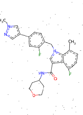 Cc1ccc(F)c2c(C(=O)NC3CCOCC3)cn(Cc3ccc(-c4cnn(C)c4)cc3F)c12